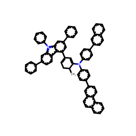 CC1CC=C(c2cc(-c3ccccc3)cc3c2c2ccc(-c4ccccc4)cc2n3-c2ccccc2)C=C1N(c1ccc(-c2ccc3ccccc3c2)cc1)c1ccc(-c2ccc3c(ccc4ccccc43)c2)cc1